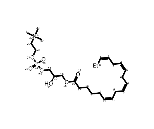 CC/C=C\C/C=C\C/C=C\C/C=C\CCCCC(=O)OC[C@@H](O)COP(=O)([O-])OCC[N+](C)(C)C